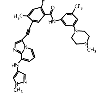 Cc1cc(F)c(C(=O)Nc2cc(N3CCN(C)CC3)cc(C(F)(F)F)c2)cc1C#Cc1cnc2c(Nc3cnn(C)c3)cccn12